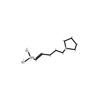 CC[SiH](C=CCCCN1CCCC1)CC